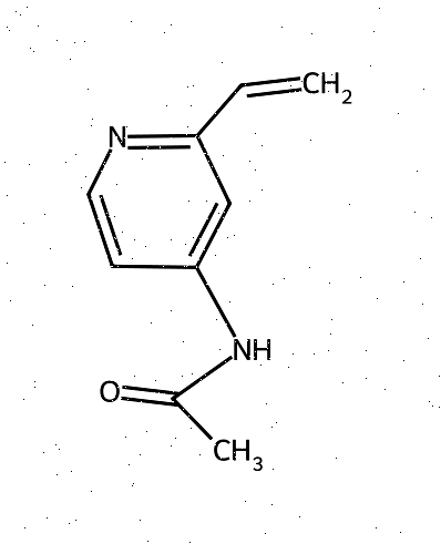 C=Cc1cc(NC(C)=O)ccn1